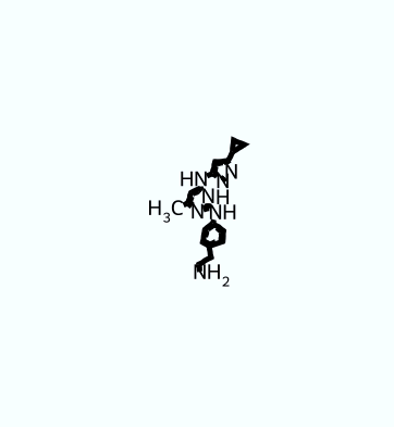 Cc1cc(Nc2cc(C3CC3)n[nH]2)nc(Nc2ccc(CCN)cc2)n1